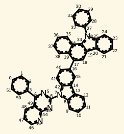 c1ccc(-c2nc(-n3c4ccccc4c4cc(-c5cc6c7ccccc7n(-c7ccccc7)c6c6ccccc56)ccc43)nc3ncccc23)cc1